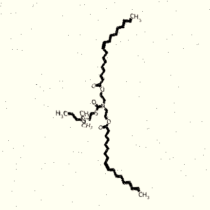 CCCCCCCC/C=C\CCCCCCCC(=O)OCCN(CCOC(=O)CCCCCCC/C=C\CCCCCCCC)C(=O)SCC[N+](C)(C)CCC